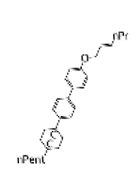 CCCC=CCOc1ccc(-c2ccc(C34CCC(CCCCC)(CC3)CC4)cc2)cc1